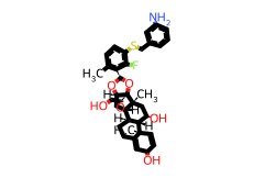 Cc1ccc(SCc2cccc(N)c2)c(F)c1[C@H]1O[C@@H]2C[C@H]3[C@@H]4CCC5=CC(O)C=C[C@]5(C)[C@H]4[C@@H](O)C[C@]3(C)[C@]2(C(=O)CO)O1